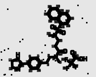 CN(CCc1ccc(C2=NCCN2)cc1)C(=O)CCN(C)S(=O)(=O)c1cccc2ccccc12.O=C(O)C(F)(F)F